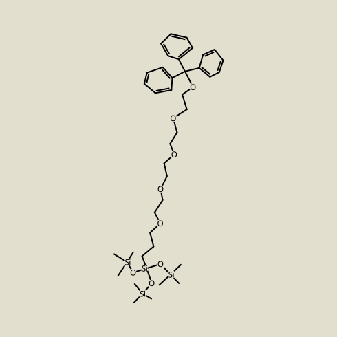 C[Si](C)(C)O[Si](CCCOCCOCCOCCOCCOC(c1ccccc1)(c1ccccc1)c1ccccc1)(O[Si](C)(C)C)O[Si](C)(C)C